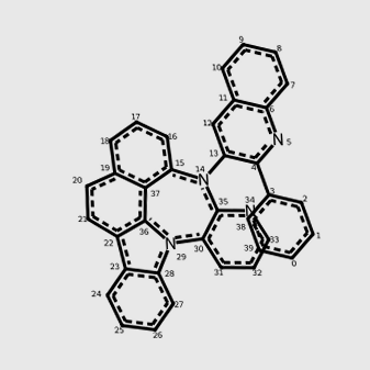 c1ccc(-c2nc3ccccc3cc2-n2c3cccc4ccc5c6ccccc6n(c6cccnc62)c5c43)cc1